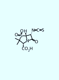 CC1(C)[C@H](C(=O)O)N2C(=O)[C@@H](N=C=S)[C@H]2S1(=O)=O